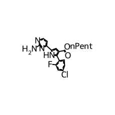 CCCCCOC(=O)c1cc(-c2ccnc(N)n2)[nH]c1-c1ccc(Cl)cc1F